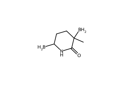 BC1CCC(B)(C)C(=O)N1